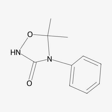 CC1(C)ONC(=O)N1c1ccccc1